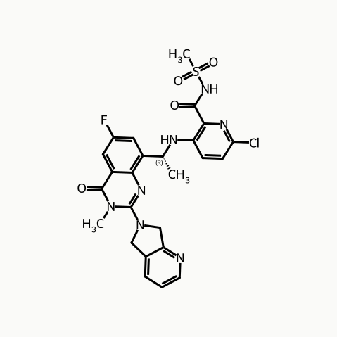 C[C@@H](Nc1ccc(Cl)nc1C(=O)NS(C)(=O)=O)c1cc(F)cc2c(=O)n(C)c(N3Cc4cccnc4C3)nc12